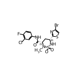 CN1[C@H](C(=O)Nc2ccc(F)c(Cl)c2)C[C@H](c2nc(Br)cs2)NS1(=O)=O